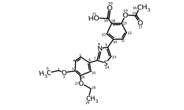 CCOc1ccc(-c2nc(-c3ccc(OC(C)=O)c(C(=O)O)c3)cs2)cc1OCC